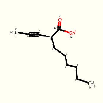 CC#C[C@H](CCCCCC)C(=O)O